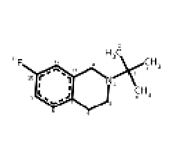 CC(C)(C)N1CCc2ccc(F)cc2C1